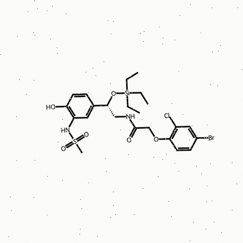 CC[Si](CC)(CC)O[C@H](CNC(=O)COc1ccc(Br)cc1Cl)c1ccc(O)c(NS(C)(=O)=O)c1